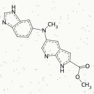 COC(=O)c1cc2cc(N(C)c3ccc4nc[nH]c4c3)cnc2[nH]1